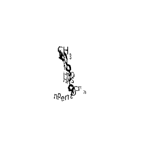 CCCCCOc1ccc(NC(=S)NC(=O)c2ccc(N3CCN(C)CC3)nc2)cc1C(F)(F)F